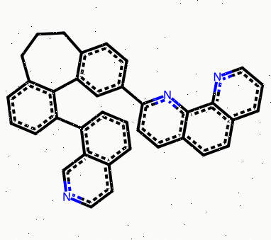 c1cc2c(c(-c3cccc4ccncc34)c1)-c1cc(-c3ccc4ccc5cccnc5c4n3)ccc1CCC2